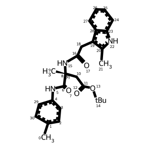 Cc1ccc(NC(=O)[C@@](C)(CC(=O)OC(C)(C)C)NC(=O)Cc2c(C)[nH]c3ccccc23)cc1